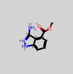 COC(=O)c1cccc2[nH]nc(N)c12